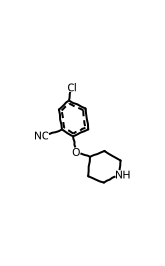 N#Cc1cc(Cl)ccc1OC1CCNCC1